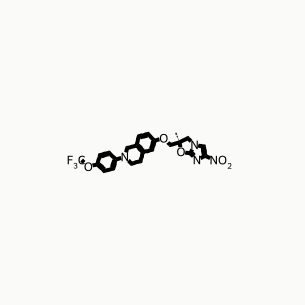 C[C@]1(COc2ccc3c(c2)CCN(c2ccc(OC(F)(F)F)cc2)C3)Cn2cc([N+](=O)[O-])nc2O1